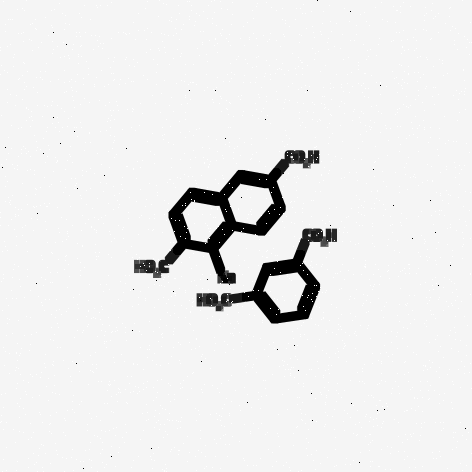 O=C(O)c1ccc2[c]([Na])c(C(=O)O)ccc2c1.O=C(O)c1cccc(C(=O)O)c1